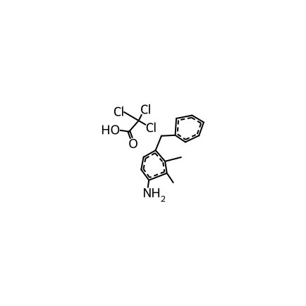 Cc1c(N)ccc(Cc2ccccc2)c1C.O=C(O)C(Cl)(Cl)Cl